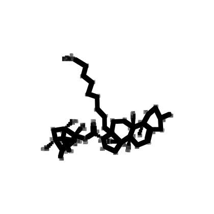 CCCCCCCCCCCCCCCCCCC12CC[C@H]3[C@@H](CC=C4CC(C)CC[C@@]43C)[C@@H]1CC[C@@H]2C(=O)O[C@@H]1C=C(C)[C@H]2C[C@@H]1C2(C)C